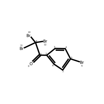 O=C(c1ccc(Br)cc1)C(Br)(Br)Br